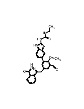 CCNC(=O)Nc1nc2cc(-c3cc(Cc4n[nH]c(=O)c5ccccc45)cc(C=O)c3OC)ccc2[nH]1